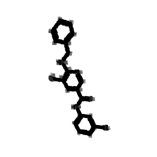 O=C(Nc1cccc(Cl)c1)c1cnc(NCc2ccccc2)c(Cl)c1